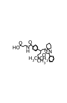 CC(C)(C)CCC(CN1C(=O)C(c2ccccc2)=NC12CCCCC2)c1ccc(C(=O)NCCC(=O)O)cc1